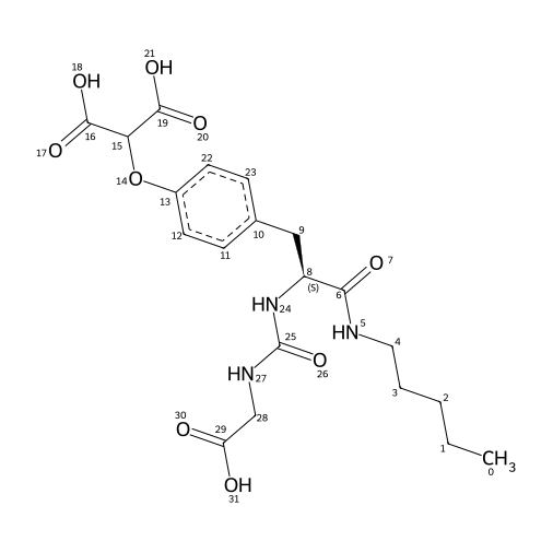 CCCCCNC(=O)[C@H](Cc1ccc(OC(C(=O)O)C(=O)O)cc1)NC(=O)NCC(=O)O